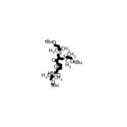 CC(C)(COC(C)(C)C)NC(=O)c1ccc(C(=O)C(CSC(C)(C)CCOC(C)(C)C)CSC(C)(C)COC(C)(C)C)o1